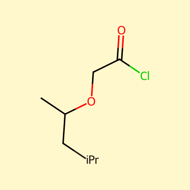 CC(C)CC(C)OCC(=O)Cl